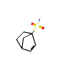 NS(=O)(=O)C12C=CC(CC1)C2